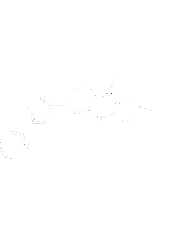 CC1(C)CCc2nc3cc(-c4cc(-c5ccccn5)on4)ccc3c(=O)n2C1